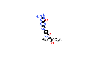 Nc1nc2ncc(CNC3C=CC(C(=O)NC(CC(CO)C(=O)O)C(=O)O)CC3)nc2c(=O)[nH]1